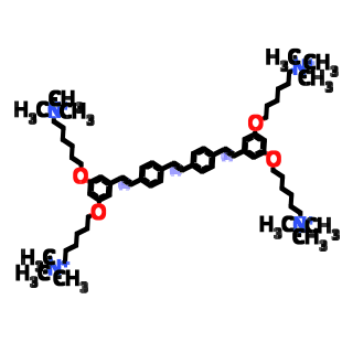 C[N+](C)(C)CCCCCCOc1cc(/C=C/c2ccc(/C=C/c3ccc(/C=C/c4cc(OCCCCCC[N+](C)(C)C)cc(OCCCCCC[N+](C)(C)C)c4)cc3)cc2)cc(OCCCCCC[N+](C)(C)C)c1